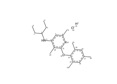 CCC(CC)Nc1cc(C)nc(Oc2c(C)cc(C)cc2C)c1C.[Cl-].[H+]